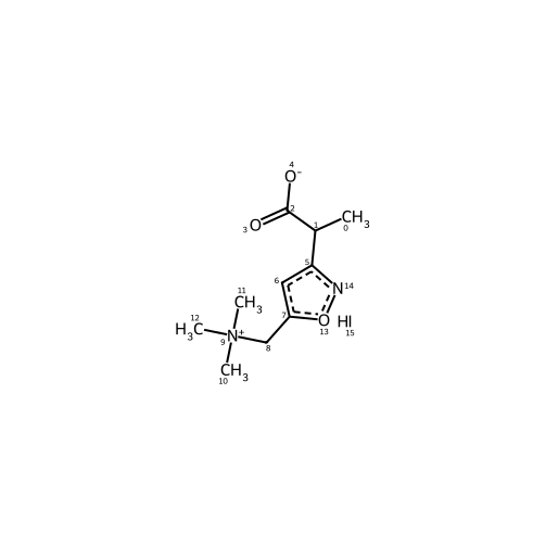 CC(C(=O)[O-])c1cc(C[N+](C)(C)C)on1.I